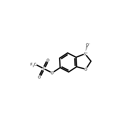 O=S(=O)(Oc1ccc2c(c1)OC[S@@+]2[O-])C(F)(F)F